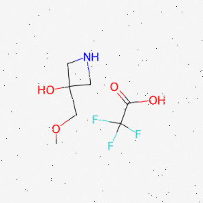 COCC1(O)CNC1.O=C(O)C(F)(F)F